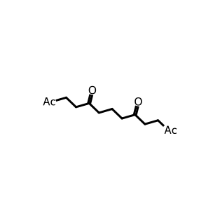 CC(=O)CCC(=O)CCCC(=O)CCC(C)=O